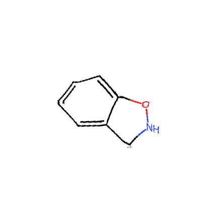 [C]1NOc2ccccc21